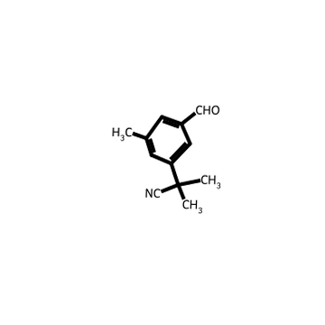 Cc1cc(C=O)cc(C(C)(C)C#N)c1